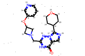 O=c1[nH]c(CN2CC(Oc3cccnc3)C2)nn2c(C3CCOCC3)ncc12